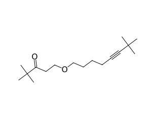 CC(C)(C)C#CCCCCOCCC(=O)C(C)(C)C